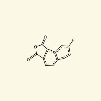 O=C1OC(=O)c2c1ccc1ccc(F)cc21